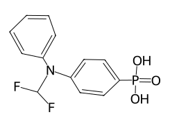 O=P(O)(O)c1ccc(N(c2ccccc2)C(F)F)cc1